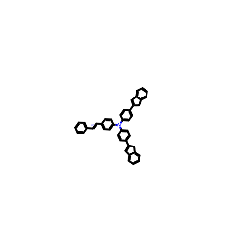 C1=C(c2ccc(N(c3ccc(/C=C/c4ccccc4)cc3)c3ccc(C4=Cc5ccccc5C4)cc3)cc2)Cc2ccccc21